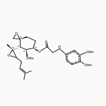 COc1ccc(NCC(=O)O[C@@H]2CC[C@]3(CO3)[C@@H]([C@@]3(C)OC3CC=C(C)C)[C@@H]2OC)cc1OC